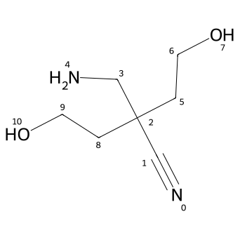 N#CC(CN)(CCO)CCO